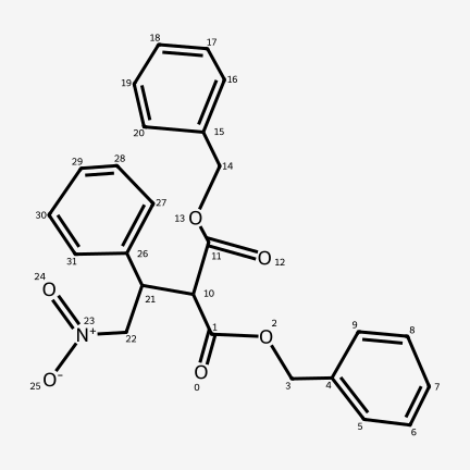 O=C(OCc1ccccc1)C(C(=O)OCc1ccccc1)C(C[N+](=O)[O-])c1ccccc1